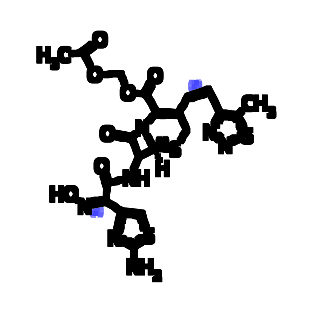 CC(=O)OCOC(=O)C1=C(/C=C\c2nnsc2C)CS[C@H]2C(NC(=O)/C(=N\O)c3csc(N)n3)C(=O)N12